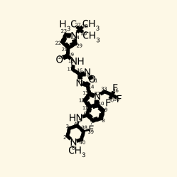 CN1CC[C@@H](Nc2cccc3c2cc(-c2nc(CNC(=O)c4ccn(C(C)(C)C)c4)no2)n3CC(F)(F)F)[C@@H](F)C1